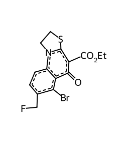 CCOC(=O)c1c2n(c3ccc(CF)c(Br)c3c1=O)CCS2